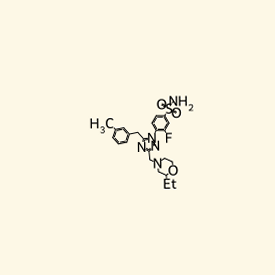 CCC1CN(Cc2nc(Cc3cccc(C)c3)n(-c3ccc(S(N)(=O)=O)cc3F)n2)CCO1